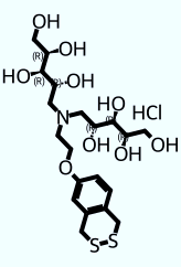 Cl.OC[C@@H](O)[C@H](O)[C@H](O)CN(CCOc1ccc2c(c1)CSSC2)C[C@@H](O)[C@@H](O)[C@H](O)CO